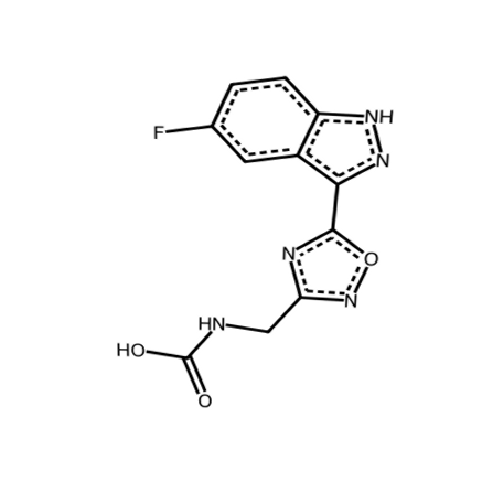 O=C(O)NCc1noc(-c2n[nH]c3ccc(F)cc23)n1